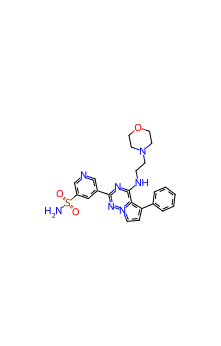 NS(=O)(=O)c1cncc(-c2nc(NCCN3CCOCC3)c3c(-c4ccccc4)ccn3n2)c1